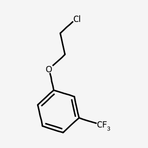 FC(F)(F)c1cccc(OCCCl)c1